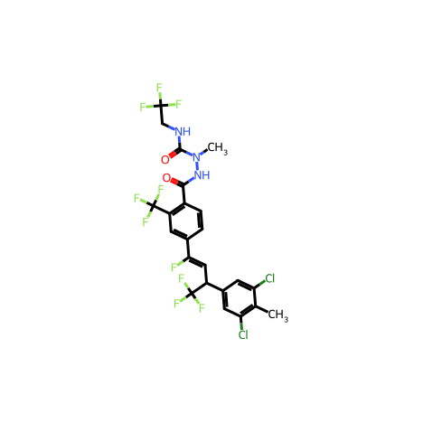 Cc1c(Cl)cc(C(/C=C(\F)c2ccc(C(=O)NN(C)C(=O)NCC(F)(F)F)c(C(F)(F)F)c2)C(F)(F)F)cc1Cl